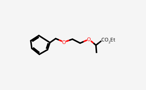 CCOC(=O)C(C)OCCOCc1ccccc1